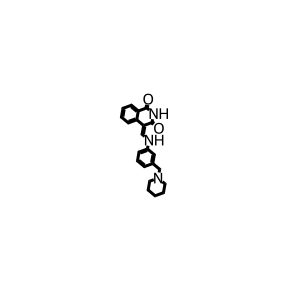 O=C1NC(=O)c2ccccc2C1=CNc1cccc(CN2CCCCC2)c1